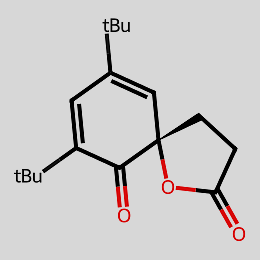 CC(C)(C)C1=C[C@@]2(CCC(=O)O2)C(=O)C(C(C)(C)C)=C1